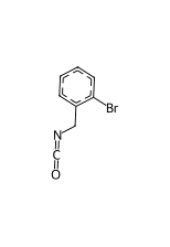 O=C=NCc1ccccc1Br